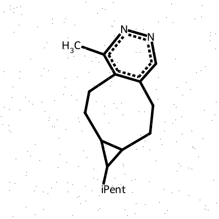 CCCC(C)C1C2CCc3cnnc(C)c3CCC21